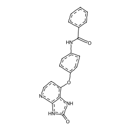 O=C(Nc1ccc(Oc2ccnc3[nH]c(=O)[nH]c23)cc1)c1ccccc1